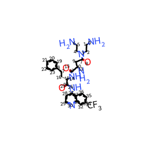 NCCN(CCN)C(=O)C[C@H](N)C(=O)N[C@@H](CCc1ccccc1)C(=O)Nc1ccnc2cc(C(F)(F)F)ccc12